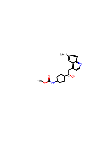 COc1ccc2nccc(C[C@@H](O)C3CCC(NC(=O)OC(C)(C)C)CC3)c2c1